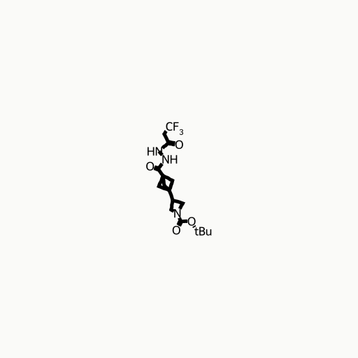 CC(C)(C)OC(=O)N1CC(C23CC(C(=O)NNC(=O)CC(F)(F)F)(C2)C3)C1